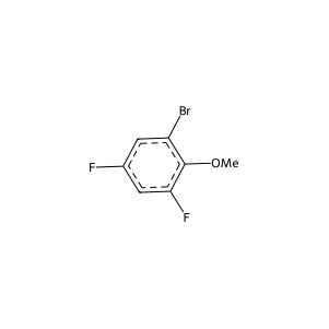 COc1c(F)cc(F)cc1Br